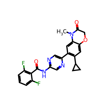 CN1C(=O)COc2cc(C3CC3)c(-c3cnc(NC(=O)c4c(F)cccc4F)cn3)cc21